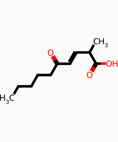 CCCCCC(=O)C=CC(C)C(=O)O